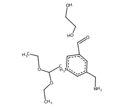 CCOC(C)OCC.NCc1cncc(C=O)c1.OCCO